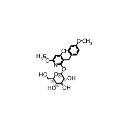 COc1ccc(Cc2c(C)cc(OC)nc2O[C@@H]2O[C@H](CO)[C@@H](O)[C@H](O)[C@H]2O)cc1